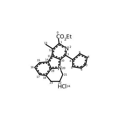 CCOC(=O)c1nc(-c2ccccc2)c2c(c1C)c1cccc3c1n2CCC3.Cl